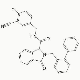 N#Cc1cc(CNC(=O)C2c3ccccc3C(=O)N2Cc2ccccc2-c2ccccc2)ccc1F